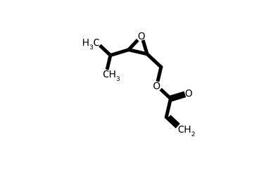 C=CC(=O)OCC1OC1C(C)C